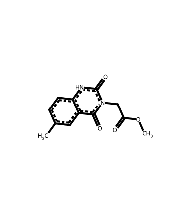 COC(=O)Cn1c(=O)[nH]c2ccc(C)cc2c1=O